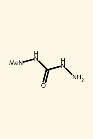 CNNC(=O)NN